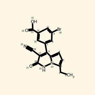 CCc1ccc2c(-c3cc(Br)cc(C(=O)O)c3)c(C#N)c(=O)[nH]n12